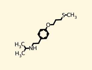 CSCCCOc1ccc(CCNC(C)C)cc1